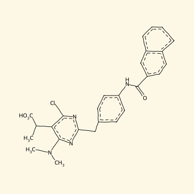 CC(C(=O)O)c1c(Cl)nc(Cc2ccc(NC(=O)c3ccc4ccccc4c3)cc2)nc1N(C)C